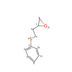 c1ccc(SCCC2CO2)cc1